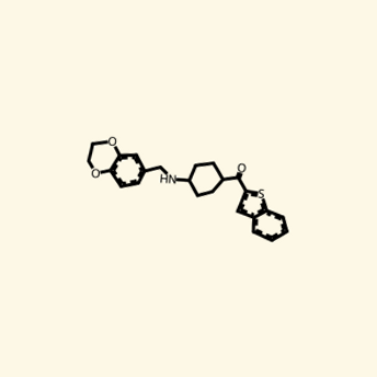 O=C(c1cc2ccccc2s1)C1CCC(NCc2ccc3c(c2)OCCO3)CC1